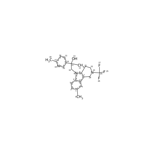 Cc1ccc2c(c1)c1c(n2CC(C)(O)c2ccc(C)nc2)CCN(C(F)(F)F)C1